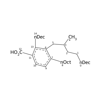 CCCCCCCCCCCCC(C)Cc1c(CCCCCCCC)ccc(C(=O)O)c1CCCCCCCCCC